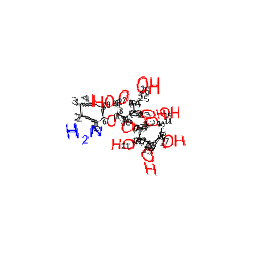 Nc1ccccc1O[C@@H]1[C@@H](O[C@H]2O[C@H](CO)[C@H](O)[C@H](O)[C@H]2O)[C@@H](O)[C@@H](CO)O[C@@H]1O